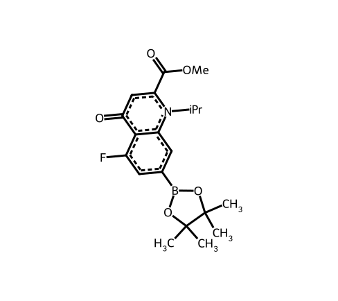 COC(=O)c1cc(=O)c2c(F)cc(B3OC(C)(C)C(C)(C)O3)cc2n1C(C)C